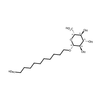 CCCCCCCCCCCCCCCCCCCCO[C@@H]1O[C@H](C(=O)O)[C@@H](O)[C@H](O)[C@H]1O